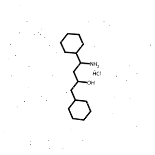 Cl.NC(CC(O)CC1CCCCC1)C1CCCCC1